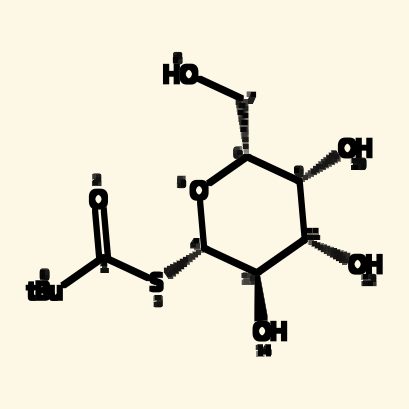 CC(C)(C)C(=O)S[C@@H]1O[C@H](CO)[C@H](O)[C@H](O)[C@H]1O